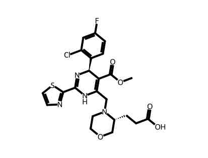 COC(=O)C1=C(CN2CCOC[C@H]2CCC(=O)O)NC(c2nccs2)=N[C@H]1c1ccc(F)cc1Cl